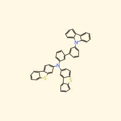 c1cc(-c2cccc(-n3c4ccccc4c4ccccc43)c2)cc(N(c2ccc3c(c2)sc2ccccc23)c2ccc3sc4ccccc4c3c2)c1